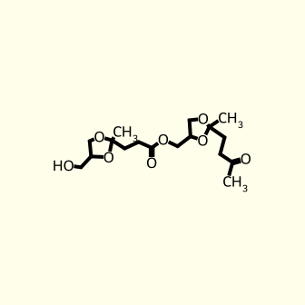 CC(=O)CCC1(C)OCC(COC(=O)CCC2(C)OCC(CO)O2)O1